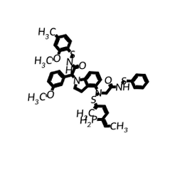 C=C(/C=C\C(P)=C/C)SN(CC(=O)NSc1ccccc1)c1cccc2c1CCN2C(C(=O)NSc1ccc(C)cc1OC)c1cccc(OC)c1